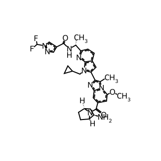 COc1cc(C(=O)N2[C@H]3CC[C@@H]2[C@H](N)C3)cc2nc(-c3cc4ccc([C@@H](C)NC(=O)c5cnn(C(F)F)c5)nc4n3CC3CC3)c(C)n12